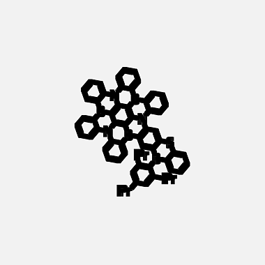 CC(C)c1cc(C(C)C)c(B2c3ccccc3Sc3cc4c(cc32)B2c3ccccc3N3c5ccccc5B5c6ccccc6N6c7ccccc7B7c8ccccc8N4c4c7c6c5c3c42)c(C(C)C)c1